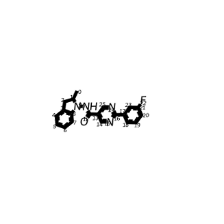 CC1Cc2ccccc2N1NC(=O)c1cnc(-c2cccc(F)c2)nc1